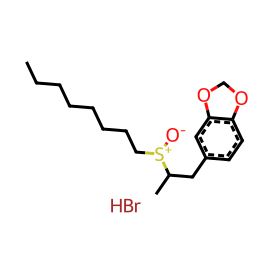 Br.CCCCCCCC[S+]([O-])C(C)Cc1ccc2c(c1)OCO2